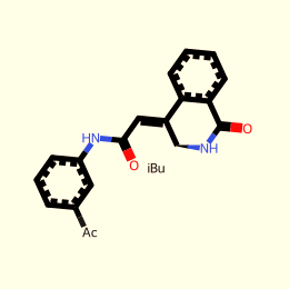 CC[C@H](C)[C@@H]1NC(=O)c2ccccc2/C1=C/C(=O)Nc1cccc(C(C)=O)c1